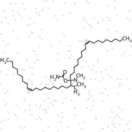 CCCCCCCC/C=C\CCCCCCCCC(C)C(CCCCCCCC/C=C\CCCCCCCC)(OC(N)=O)N(C)C